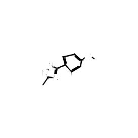 COc1ccc(C2=NC(C)N=N2)cc1